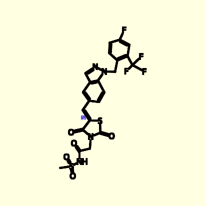 CS(=O)(=O)NC(=O)CN1C(=O)S/C(=C\c2ccc3c(cnn3Cc3ccc(F)cc3C(F)(F)F)c2)C1=O